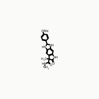 COc1ccc(C2Nc3cc4c(cc3N2)C(C)(C(=O)NN)C(=O)N4)cc1